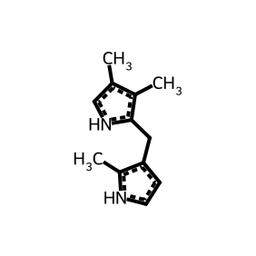 Cc1c[nH]c(Cc2cc[nH]c2C)c1C